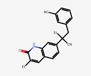 CCc1cc2ccc(C(C#N)(CC)Cc3cccc(C#N)c3)cc2[nH]c1=O